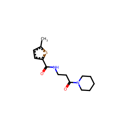 Cc1ccc(C(=O)NCCC(=O)N2CCCCC2)s1